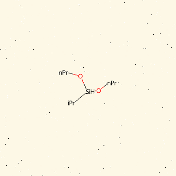 CCCO[SiH](OCCC)C(C)C